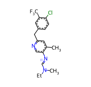 CCN(C)/C=N/c1cnc(Cc2ccc(Cl)c(C(F)(F)F)c2)cc1C